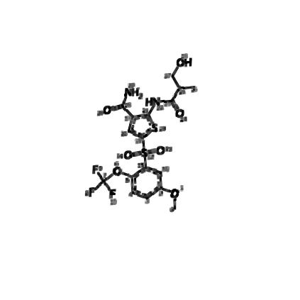 COc1ccc(OC(F)(F)F)c(S(=O)(=O)c2cc(C(N)=O)c(NC(=O)C(C)CO)s2)c1